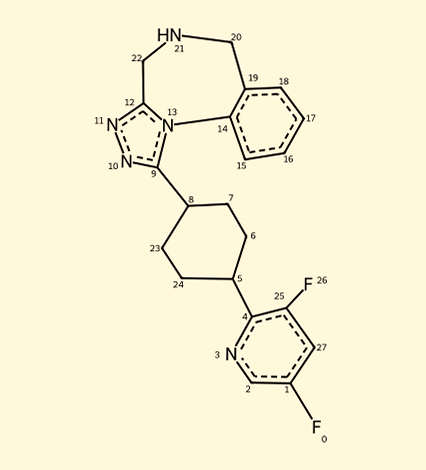 Fc1cnc(C2CCC(c3nnc4n3-c3ccccc3CNC4)CC2)c(F)c1